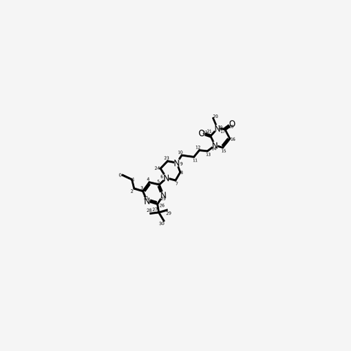 CCCc1cc(N2CCN(CCCCn3ccc(=O)n(C)c3=O)CC2)nc(C(C)(C)C)n1